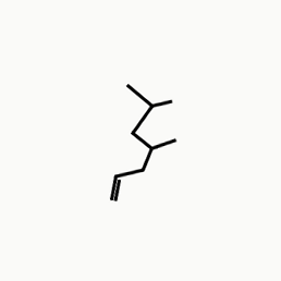 C=CC[C](C)CC(C)C